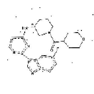 O=C(C1CCOCC1)N1CCC[C@@H](Nc2ccnc(-c3cnc4ccc(F)cn34)n2)C1